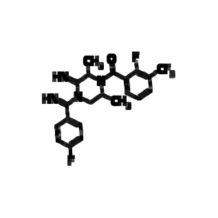 CC1CN(C(=N)c2ccc(F)cc2)C(=N)C(C)N1C(=O)c1cccc(C(F)(F)F)c1F